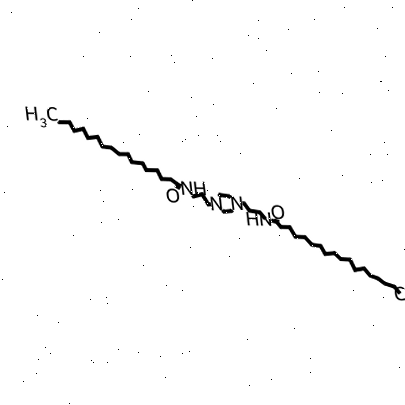 CCCCCCCCCCCCCCCCCC(=O)NCCCN1CCN(CCCNC(=O)CCCCCCCCCCCCCCCCC)CC1